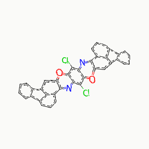 Clc1c2nc3c(cc4c5ccccc5c5cccc3c54)oc2c(Cl)c2nc3c(cc4c5ccccc5c5cccc3c54)oc12